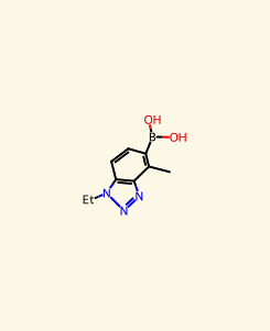 CCn1nnc2c(C)c(B(O)O)ccc21